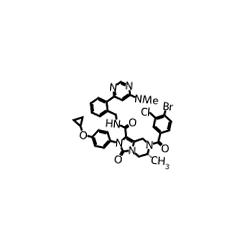 CNc1cc(-c2ccccc2CNC(=O)c2c3n(c(=O)n2-c2ccc(OC4CC4)cc2)C[C@@H](C)N(C(=O)c2ccc(Br)c(Cl)c2)C3)ncn1